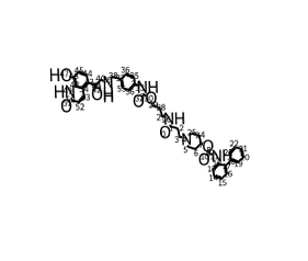 O=C(CCN1CCC(OC(=O)Nc2ccccc2-c2ccccc2)CC1)NCCCOC(=O)Nc1ccc(CNC[C@H](O)c2ccc(O)c3[nH]c(=O)ccc23)cc1